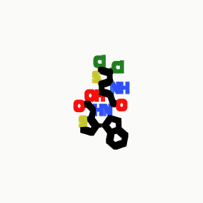 O=C(O)Cc1sccc1[C@H]1c2ccccc2C[C@H]1NC(=O)c1cc2sc(Cl)c(Cl)c2[nH]1